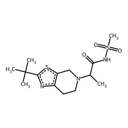 CC(C(=O)NS(C)(=O)=O)N1CCc2nc(C(C)(C)C)sc2C1